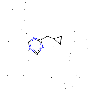 c1ncnc(CC2CC2)n1